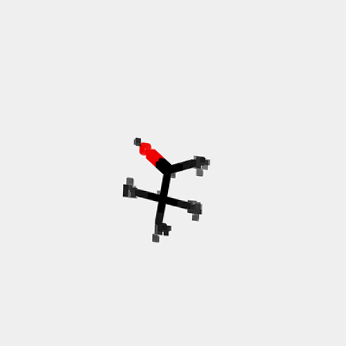 CCC(CC)(C(=O)C(C)C)C(C)C